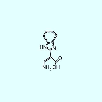 NC=C(C(=O)O)c1nc2ccccc2[nH]1